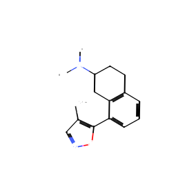 CCCN(CCC)C1CCc2cccc(-c3oncc3OC)c2C1